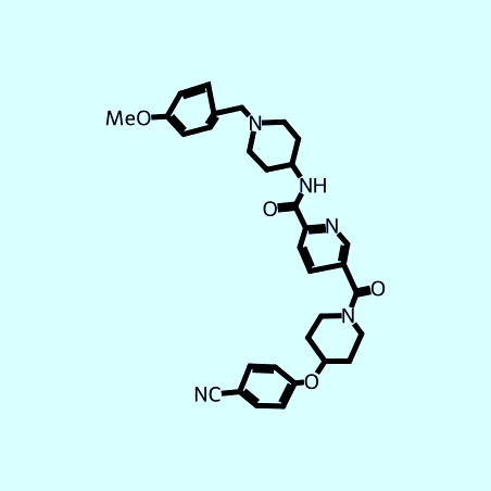 COc1ccc(CN2CCC(NC(=O)c3ccc(C(=O)N4CCC(Oc5ccc(C#N)cc5)CC4)cn3)CC2)cc1